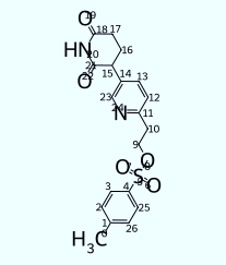 Cc1ccc(S(=O)(=O)OCCc2ccc(C3CCC(=O)NC3=O)cn2)cc1